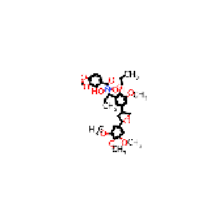 CCCOc1c(OC)cc(C2COC(c3cc(OC)c(OC)c(OC)c3)C2)cc1C(CC)[N+](O)(O)C(=O)c1ccc2c(c1)OCO2